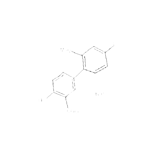 COc1cc(F)ccc1-c1ccc(O)c(C(=O)[O-])c1.[Na+]